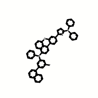 Fc1cc(-c2cccc3ccccc23)cc(N(c2ccccc2)c2ccc3c4c(cccc24)Oc2cc(-c4ccc(N(c5ccccc5)c5ccccc5)s4)ccc2-3)c1